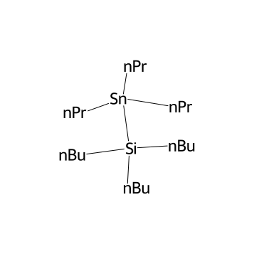 CCCC[Si](CCCC)(CCCC)[Sn]([CH2]CC)([CH2]CC)[CH2]CC